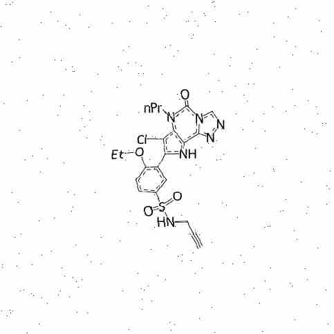 C#CCNS(=O)(=O)c1ccc(OCC)c(-c2[nH]c3c(c2Cl)n(CCC)c(=O)n2cnnc32)c1